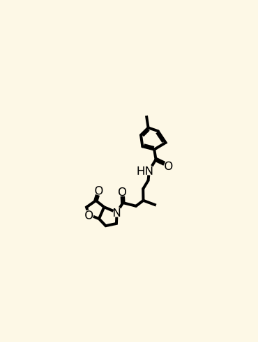 Cc1ccc(C(=O)NCCC(C)CC(=O)N2CCC3OCC(=O)C32)cc1